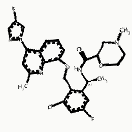 Cc1cc(-n2cc(F)cn2)c2cccc(OCc3c(Cl)cc(F)cc3[C@H](C)NC(=O)C3CN(C)CCO3)c2n1